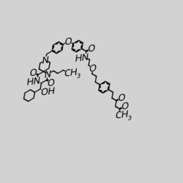 CCCCN1C(=O)[C@H]([C@H](O)C2CCCCC2)NC(=O)C12CCN(Cc1ccc(Oc3ccc(C(=O)NCCOCCCc4ccc(CCC(=O)CC(C)=O)cc4)cc3)cc1)CC2